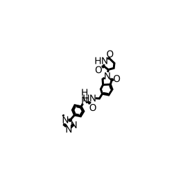 Cn1cnnc1-c1ccc(NC(=O)NCC2=CC=C3C(=O)N(C4CCC(=O)NC4=O)CC3C2)cc1